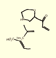 C=C(C)C(=O)O.C=CC(=O)C1CNCCO1.CC=CC(=O)O